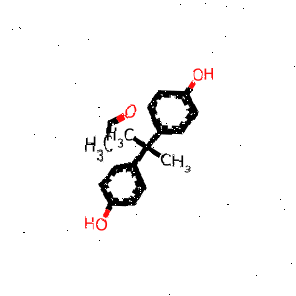 CC(C)(c1ccc(O)cc1)c1ccc(O)cc1.CC=O